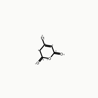 CCC1=CC(=O)OC(=O)C1